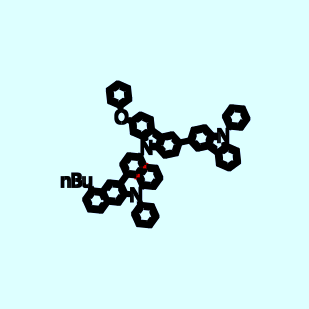 CCCCc1cccc2cc(N(c3ccccc3)c3ccccc3)c(-c3ccc(-n4c5ccc(-c6ccc7c(c6)c6ccccc6n7-c6ccccc6)cc5c5ccc(Oc6ccccc6)cc54)cc3)cc12